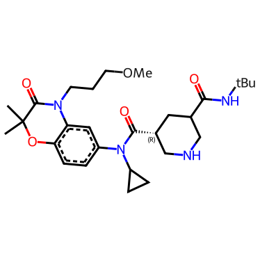 COCCCN1C(=O)C(C)(C)Oc2ccc(N(C(=O)[C@H]3CNCC(C(=O)NC(C)(C)C)C3)C3CC3)cc21